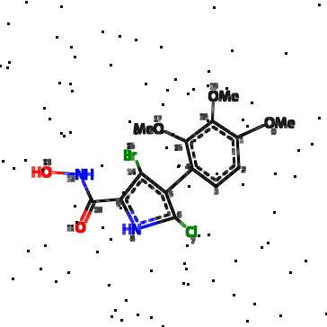 COc1ccc(-c2c(Cl)[nH]c(C(=O)NO)c2Br)c(OC)c1OC